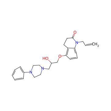 C=CCN1C(=O)CCc2c(OCC(O)CN3CCN(c4ccccc4)CC3)cccc21